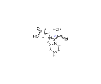 CC(C)(CN1CC2CNCCN2/C1=N\C#N)C(=O)O.Cl